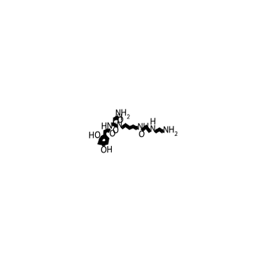 NCCCNCCC(=O)NCCCCCNC(=O)[C@H](CC(N)=O)NC(=O)Cc1ccc(O)cc1O